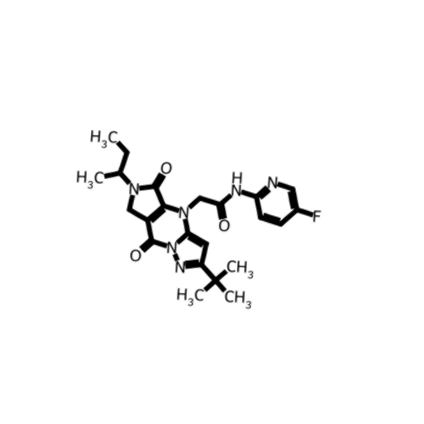 CCC(C)N1Cc2c(n(CC(=O)Nc3ccc(F)cn3)c3cc(C(C)(C)C)nn3c2=O)C1=O